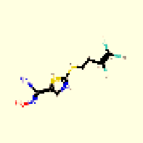 NC(=NO)c1cnc(SCCC(F)=C(F)F)s1